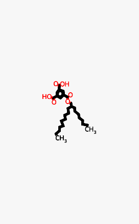 CCCCCCCCCCC(CCCCCCCC)COC(=O)c1cc(C(=O)O)cc(C(=O)O)c1